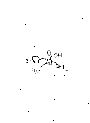 CCCc1nc(CC)c(C(=O)O)n1Cc1ccc(Br)cc1